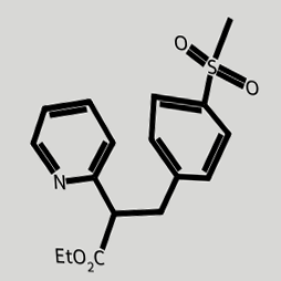 CCOC(=O)C(Cc1ccc(S(C)(=O)=O)cc1)c1ccccn1